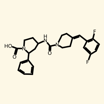 O=C(NC1CCN(C(=O)O)C(c2ccccc2)C1)N1CCC(=Cc2cc(F)ccc2F)CC1